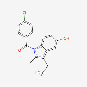 Cc1c(CC(=O)O)c2cc(O)ccc2n1C(=O)c1ccc(Cl)cc1